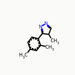 Cc1ccc(C2=NN=CC2C)c(C)c1